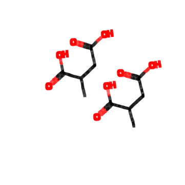 CC(CC(=O)O)C(=O)O.CC(CC(=O)O)C(=O)O